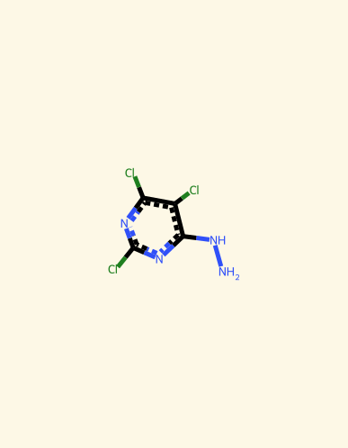 NNc1nc(Cl)nc(Cl)c1Cl